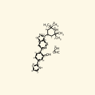 CC1(C)CC(n2nnc3cc(-c4ccc(-c5ncco5)cc4O)nnc32)CC(C)(C)N1.O=CO